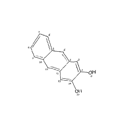 Oc1[c]c2cc3ccccc3cc2cc1O